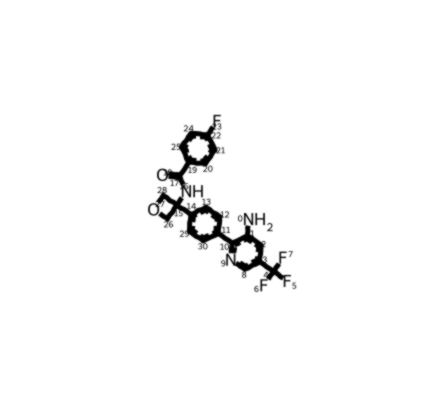 Nc1cc(C(F)(F)F)cnc1-c1ccc(C2(NC(=O)c3ccc(F)cc3)COC2)cc1